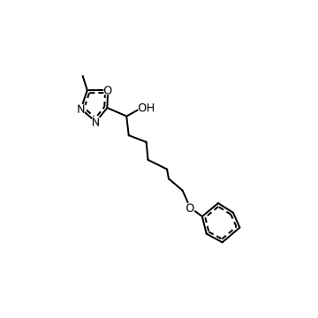 Cc1nnc(C(O)CCCCCCOc2ccccc2)o1